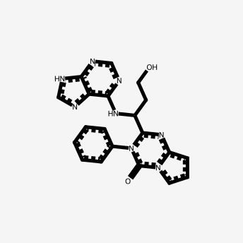 O=c1n(-c2ccccc2)c(C(CCO)Nc2ncnc3[nH]cnc23)nc2cccn12